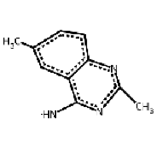 Cc1ccc2nc(C)nc([NH])c2c1